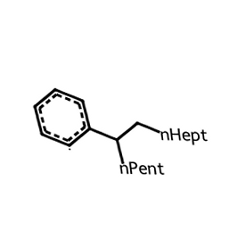 CCCCCCCCC(CCCCC)c1[c]cccc1